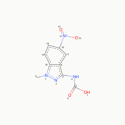 Cn1nc(NC(=O)O)c2cc([N+](=O)[O-])ccc21